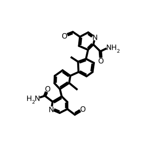 Cc1c(-c2cc(C=O)cnc2C(N)=O)cccc1-c1cccc(-c2cc(C=O)cnc2C(N)=O)c1C